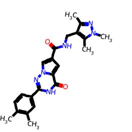 Cc1ccc(-c2nn3cc(C(=O)NCc4c(C)nn(C)c4C)cc3c(=O)[nH]2)cc1C